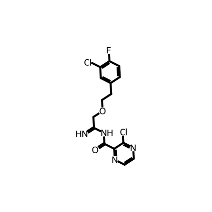 N=C(COCCc1ccc(F)c(Cl)c1)NC(=O)c1nccnc1Cl